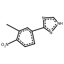 Cc1cc(-c2nc[nH]n2)ccc1[N+](=O)[O-]